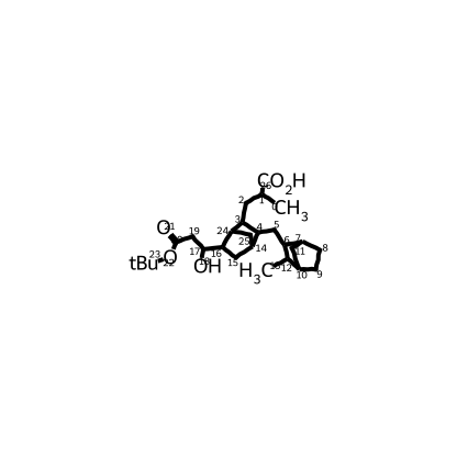 CC(CC1C(CC2C3CCC(C3)C2C)C2CC(C(O)CC(=O)OC(C)(C)C)C1C2)C(=O)O